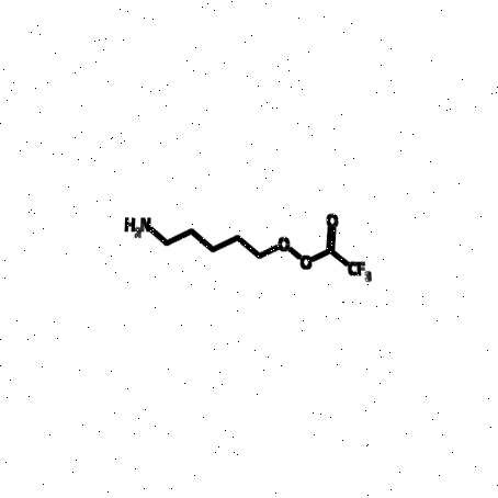 NCCCCCOOC(=O)C(F)(F)F